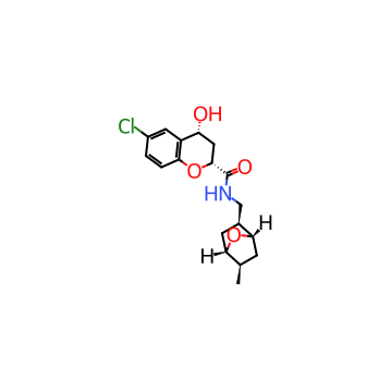 C[C@@H]1C[C@@H]2O[C@H]1C[C@H]2CNC(=O)[C@H]1C[C@@H](O)c2cc(Cl)ccc2O1